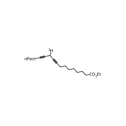 [2H]C(C#CCCCCC)C#CCCCCCCCC(=O)OCC